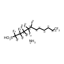 N.O=S(=O)(O)C(F)(F)C(F)(F)C(F)(F)C(F)(F)C(F)CCCCCC(F)(F)F